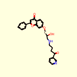 O=C(CCCNCC(O)COc1ccc2c(=O)cc(-c3ccccc3)oc2c1)c1cccnc1